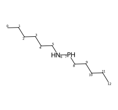 CCCCCCNPCCCCC